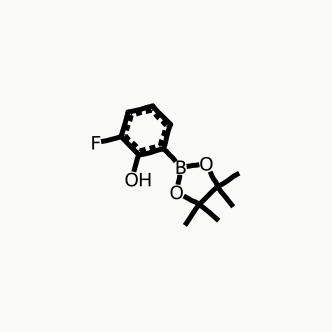 CC1(C)OB(c2cccc(F)c2O)OC1(C)C